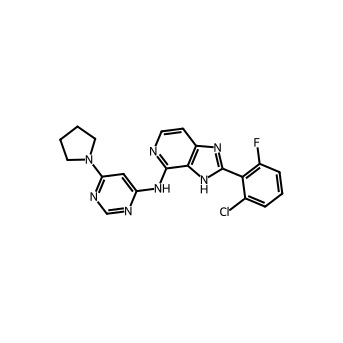 Fc1cccc(Cl)c1-c1nc2ccnc(Nc3cc(N4CCCC4)ncn3)c2[nH]1